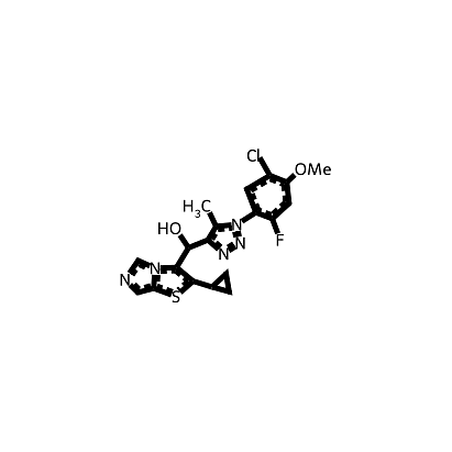 COc1cc(F)c(-n2nnc(C(O)c3c(C4CC4)sc4cncn34)c2C)cc1Cl